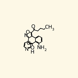 CCCCC(=O)c1onc(-c2ccncc2)c1-c1cccc(N)c1C(=O)O